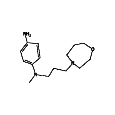 CN(CCCN1CCCOCC1)c1ccc(N)cc1